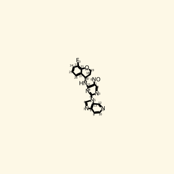 O=Nc1cnc(-n2cnc3ccncc32)nc1N[C@@H]1CCOc2c(F)cccc21